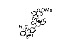 COC(=O)Oc1csc2nc(NC(=O)C(CC3CCOCC3)c3ccc4c(c3)N(C)c3ccccc3S4(=O)=O)sc12